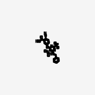 CS(=O)(=O)c1nc(NCc2ccccc2)c([N+](=O)[O-])c(Oc2ccc(C#N)c(C(=O)O)c2)n1